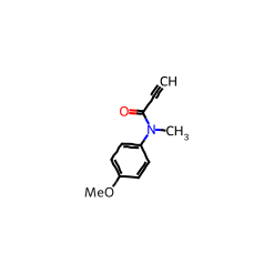 C#CC(=O)N(C)c1ccc(OC)cc1